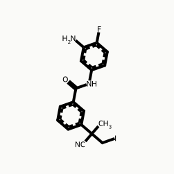 CC(C#N)(CI)c1cccc(C(=O)Nc2ccc(F)c(N)c2)c1